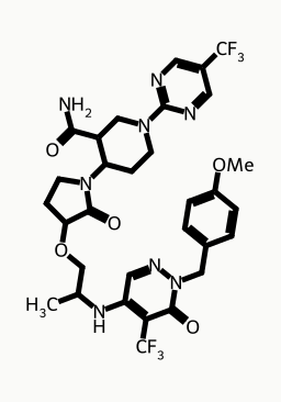 COc1ccc(Cn2ncc(NC(C)COC3CCN(C4CCN(c5ncc(C(F)(F)F)cn5)CC4C(N)=O)C3=O)c(C(F)(F)F)c2=O)cc1